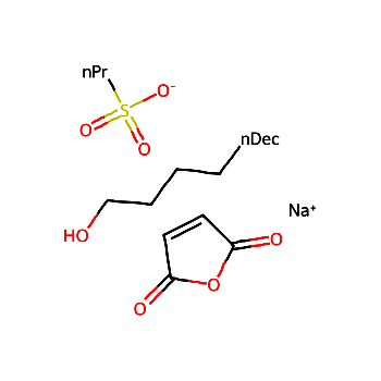 CCCCCCCCCCCCCCO.CCCS(=O)(=O)[O-].O=C1C=CC(=O)O1.[Na+]